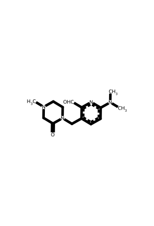 CN1CCN(Cc2ccc(N(C)C)nc2C=O)C(=O)C1